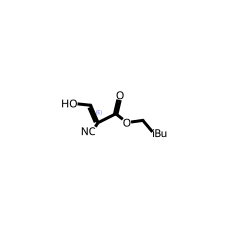 CCC(C)COC(=O)/C(C#N)=C/O